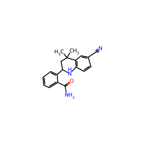 CC1(C)CC(c2ccccc2C(N)=O)Nc2ccc(C#N)cc21